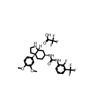 COc1ccc([C@@]23CCN[C@@H]2C[C@@H](NC(=O)Nc2cccc(C(F)(F)F)c2F)CC3)cc1OC.O=C(O)C(F)(F)F